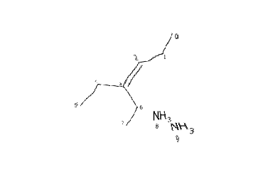 CCC=C(CC)CC.N.N